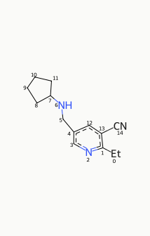 CCc1ncc(CNC2CCCC2)cc1C#N